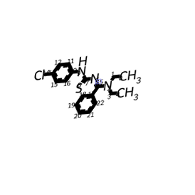 CCN(CC)/C(=N/C(=S)Nc1ccc(Cl)cc1)c1ccccc1